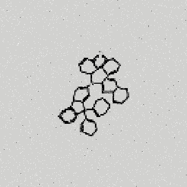 C1=CC(C2(C3=CCCCC3)C3=CC(N(C4=CC5C=CCCC5C=C4)C4CC=Cc5oc6c(c54)C=CCC6)=CCC3c3ccccc32)=CCC1